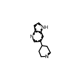 C1=NCCC(c2cnc3cc[nH]c3c2)C1